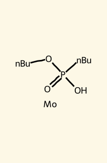 CCCCOP(=O)(O)CCCC.[Mo]